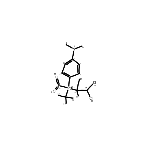 CN(C)c1cc[c]([Pd-2]([P](=O)=O)([C](C)(C)C)[C](C)(C)C(Cl)Cl)cc1